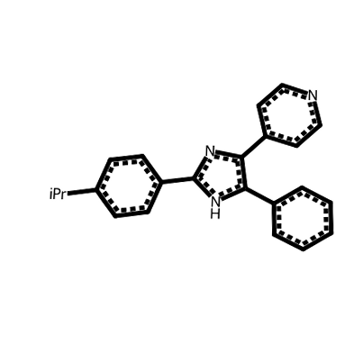 CC(C)c1ccc(-c2nc(-c3ccncc3)c(-c3ccccc3)[nH]2)cc1